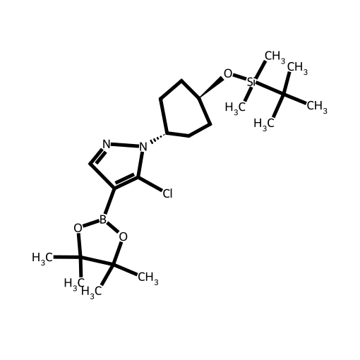 CC1(C)OB(c2cnn([C@H]3CC[C@H](O[Si](C)(C)C(C)(C)C)CC3)c2Cl)OC1(C)C